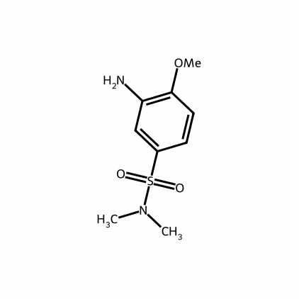 COc1ccc(S(=O)(=O)N(C)C)cc1N